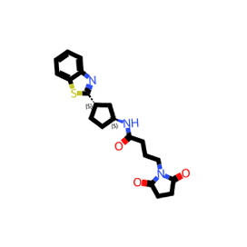 O=C(CCCN1C(=O)CCC1=O)N[C@H]1CC[C@H](c2nc3ccccc3s2)C1